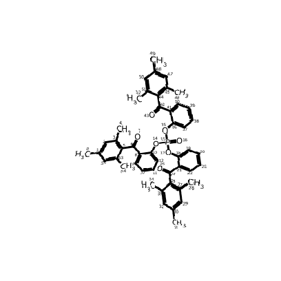 Cc1cc(C)c(C(=O)c2ccccc2OP(=O)(Oc2ccccc2C(=O)c2c(C)cc(C)cc2C)Oc2ccccc2C(=O)c2c(C)cc(C)cc2C)c(C)c1